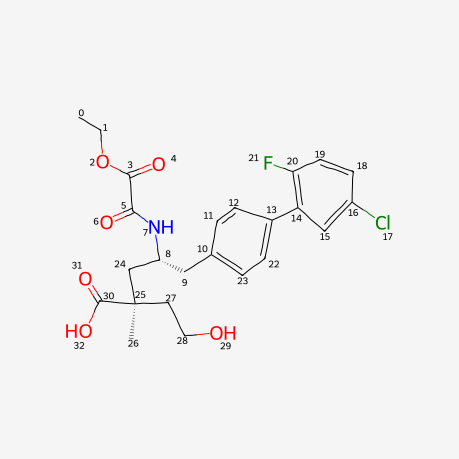 CCOC(=O)C(=O)N[C@H](Cc1ccc(-c2cc(Cl)ccc2F)cc1)C[C@@](C)(CCO)C(=O)O